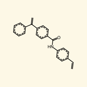 C=Cc1ccc(NC(=O)c2ccc(C(=C)c3ccccc3)cc2)cc1